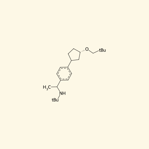 CC(NC(C)(C)C)c1ccc(C2CC[C@H](OCC(C)(C)C)C2)cc1